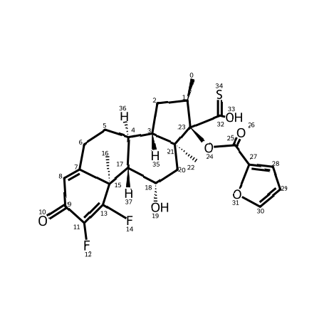 C[C@@H]1C[C@H]2[C@@H]3CCC4=CC(=O)C(F)=C(F)[C@]4(C)[C@H]3[C@@H](O)C[C@]2(C)[C@@]1(OC(=O)c1ccco1)C(O)=S